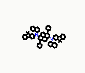 CC1(C)c2ccccc2-c2ccc(N(c3cccc4ccccc34)c3cc(-c4ccccc4)c4ccc5c(N(c6ccc7c(c6)C(C)(C)C6CC=CC=C76)c6cccc7c6C=CCC7)cc(-c6ccccc6)c6ccc3c4c65)cc21